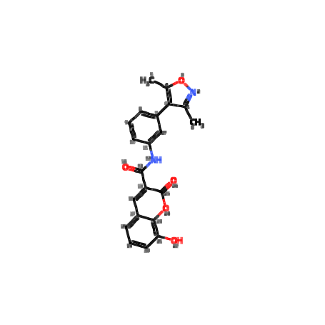 Cc1noc(C)c1-c1cccc(NC(=O)c2cc3cccc(O)c3oc2=O)c1